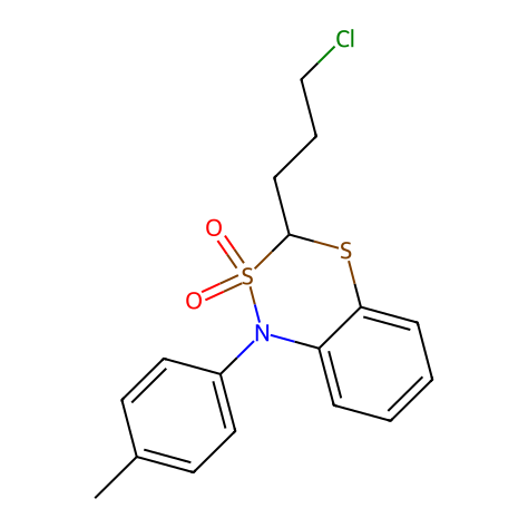 Cc1ccc(N2c3ccccc3SC(CCCCl)S2(=O)=O)cc1